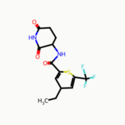 CCC1C=C(C(=O)NC2CCC(=O)NC2=O)SC(C(F)(F)F)=C1